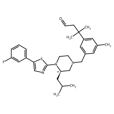 Cc1cc(CN2CCN(c3ncc(-c4cccc(F)c4)s3)[C@H](CC(C)C)C2)cc(C(C)(C)CC=O)c1